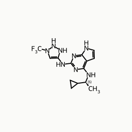 C[C@H](Nc1nc(NC2=CN(C(F)(F)F)NN2)nc2[nH]ccc12)C1CC1